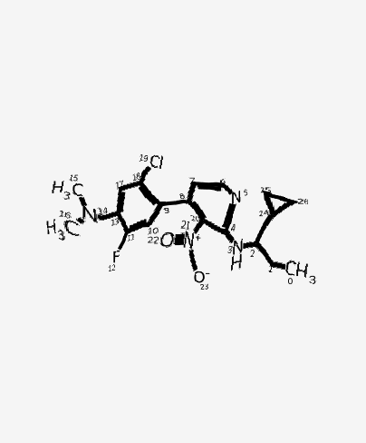 CCC(Nc1nccc(-c2cc(F)c(N(C)C)cc2Cl)c1[N+](=O)[O-])C1CC1